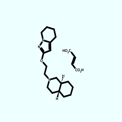 O=C(O)C=CC(=O)O.c1c(OCCN2CC[C@H]3CCCC[C@@H]3C2)nn2c1CCCC2